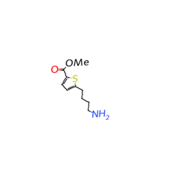 COC(=O)c1ccc(CCCCN)s1